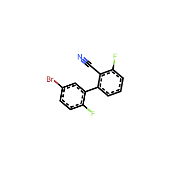 N#Cc1c(F)cccc1-c1cc(Br)ccc1F